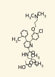 CCC(C)(C)[C@H](CC(=O)O)NC(=O)c1ccc(-c2ccccc2C)c(-c2ccc(Cl)c(OCCCN(C)C)c2)n1